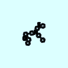 c1ccc(-c2ccc(N(c3ccc(-c4cccc5oc6c7ccccc7ccc6c45)cc3)c3ccc4sc5ccccc5c4c3)cc2)cc1